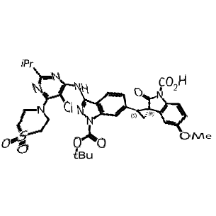 COc1ccc2c(c1)[C@]1(C[C@H]1c1ccc3c(Nc4nc(C(C)C)nc(N5CCS(=O)(=O)CC5)c4Cl)nn(C(=O)OC(C)(C)C)c3c1)C(=O)N2C(=O)O